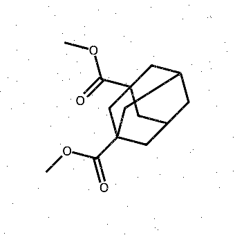 COC(=O)C12CC3CC(C1)CC(C(=O)OC)(C3)C2